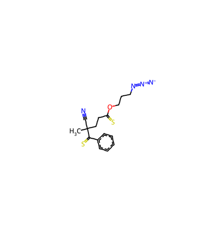 CC(C#N)(CCC(=S)OCCCN=[N+]=[N-])C(=S)c1ccccc1